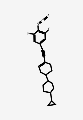 Fc1cc(C#CC2=CCC(C3CCC(C4CC4)CC3)CC2)cc(F)c1N=C=S